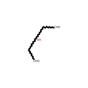 O=CCCCCCCC/C=C\CCCCCCCCC(O)CCCCCCCC/C=C\CCCCCCCC=O